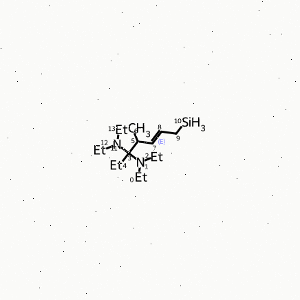 CCN(CC)C(CC)(C(C)/C=C/C[SiH3])N(CC)CC